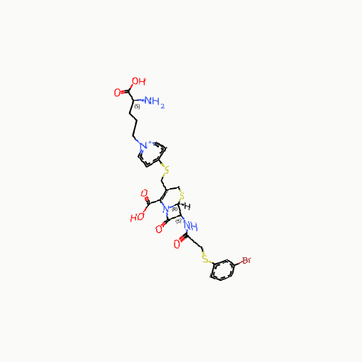 N[C@@H](CCC[n+]1ccc(SCC2=C(C(=O)O)N3C(=O)[C@H](NC(=O)CSc4cccc(Br)c4)[C@H]3SC2)cc1)C(=O)O